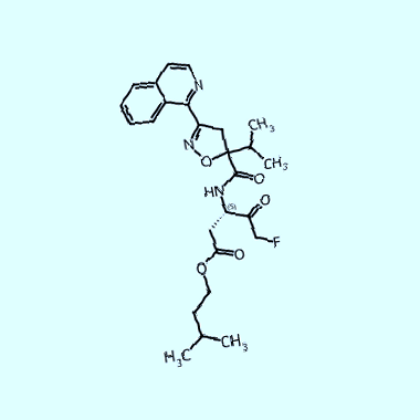 CC(C)CCOC(=O)C[C@H](NC(=O)C1(C(C)C)CC(c2nccc3ccccc23)=NO1)C(=O)CF